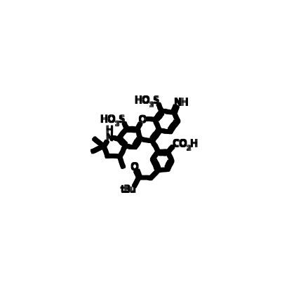 CC1CC(C)(C)Nc2c1cc1c(-c3cc(CC(=O)C(C)(C)C)ccc3C(=O)O)c3ccc(=N)c(S(=O)(=O)O)c-3oc1c2S(=O)(=O)O